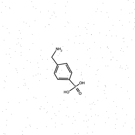 NCc1ccc(P(=O)(O)O)cc1